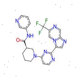 O=C(Nc1cccnc1)[C@@H]1CCCN(c2ccnc(-c3cnc4cnc(C(F)(F)F)cn34)n2)C1